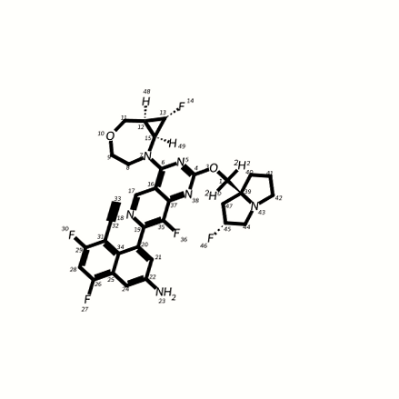 [2H]C([2H])(Oc1nc(N2CCOC[C@H]3[C@H](F)[C@H]32)c2cnc(-c3cc(N)cc4c(F)cc(F)c(C#C)c34)c(F)c2n1)[C@@]12CCCN1C[C@H](F)C2